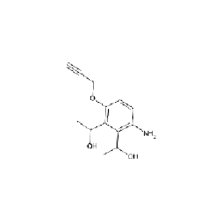 C#CCOc1ccc(N)c(C(C)O)c1C(C)O